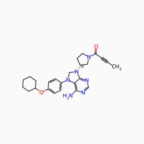 CC#CC(=O)N1CC[C@@H](N2CN(c3ccc(OC4CCCCC4)cc3)c3c(N)ncnc32)C1